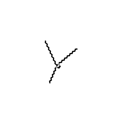 CCCCCCCCCCCCCCC1N(CCCCCCCCCC)C=CN1CCCCCCCCCCCCCC